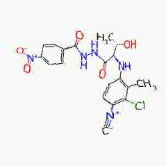 [C-]#[N+]c1ccc(N[C@@H](C(=O)NNC(=O)c2ccc([N+](=O)[O-])cc2)[C@H](C)O)c(C)c1Cl